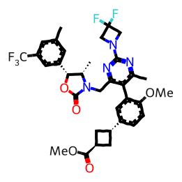 COc1ccc([C@H]2C[C@H](C(=O)OC)C2)cc1-c1c(C)nc(N2CC(F)(F)C2)nc1CN1C(=O)O[C@H](c2cc(C)cc(C(F)(F)F)c2)[C@@H]1C